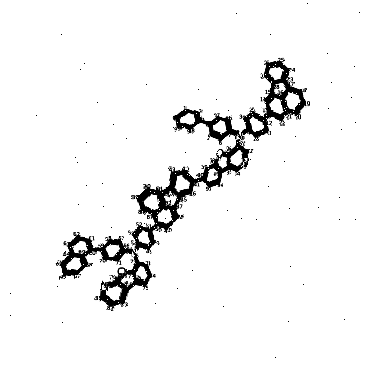 c1ccc(-c2ccc(N(c3ccc(-c4cc5c6c(cccc6c4)-c4ccccc4-5)cc3)c3cncc4c3oc3cc(-c5ccc6c(c5)-c5ccc(-c7ccc(N(c8ccc(-c9cccc%10ccccc9%10)cc8)c8cccc9c8oc8ncccc89)cc7)c7cccc-6c57)ccc34)cc2)cc1